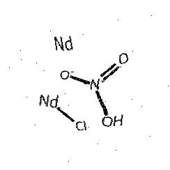 O=[N+]([O-])O.[Cl][Nd].[Nd]